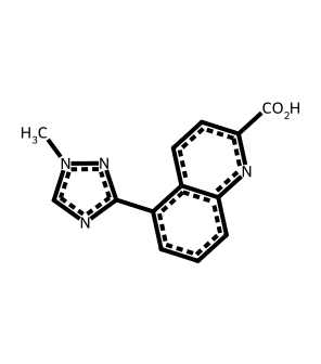 Cn1cnc(-c2cccc3nc(C(=O)O)ccc23)n1